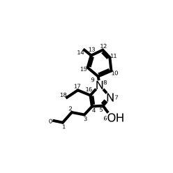 CCCCc1c(O)nn(-c2cccc(C)c2)c1CC